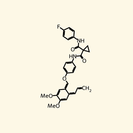 C=C/C=c1/cc(OC)c(OC)c/c1=C\Oc1ccc(NC(=O)C2(C(=O)Nc3ccc(F)cc3)CC2)cc1